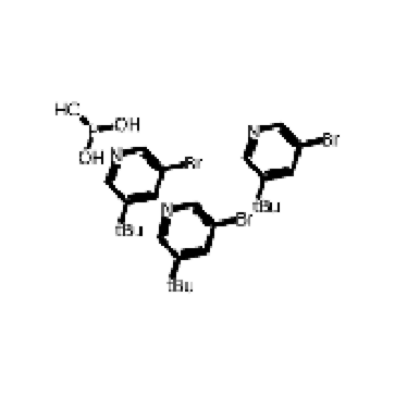 CC(C)(C)c1cncc(Br)c1.CC(C)(C)c1cncc(Br)c1.CC(C)(C)c1cncc(Br)c1.OP(O)O